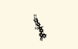 Cc1c(-c2ccc(N3CCNCC3)nc2)[nH]c2cc(-c3ccc(C#N)c4ncccc34)ccc12